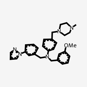 COc1cccc(CN(Cc2cccc(-n3cccn3)c2)c2ccc(CN3CCN(C)CC3)cc2)c1